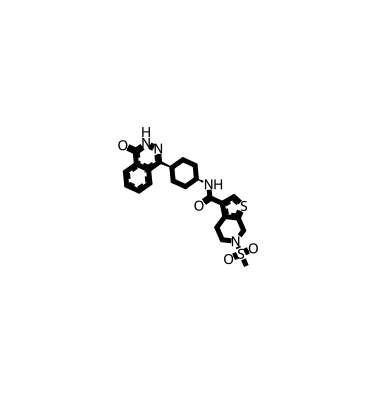 CS(=O)(=O)N1CCc2c(C(=O)N[C@H]3CC[C@H](c4n[nH]c(=O)c5ccccc54)CC3)csc2C1